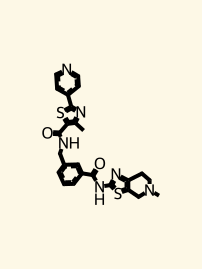 Cc1nc(-c2ccncc2)sc1C(=O)NCc1cccc(C(=O)Nc2nc3c(s2)CN(C)CC3)c1